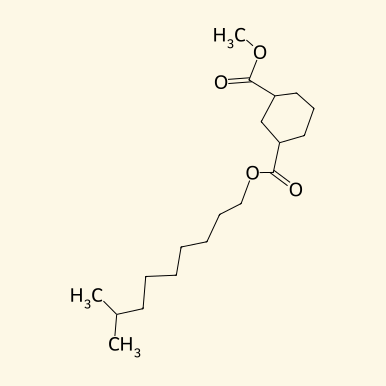 COC(=O)C1CCCC(C(=O)OCCCCCCCC(C)C)C1